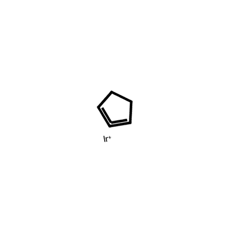 C1=CCCC=1.[Ir+]